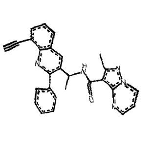 C#Cc1cccc2cc(C(C)NC(=O)c3c(C)nn4cccnc34)c(-c3ccccc3)nc12